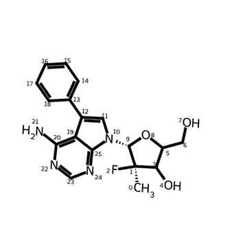 C[C@@]1(F)C(O)C(CO)O[C@H]1n1cc(-c2ccccc2)c2c(N)ncnc21